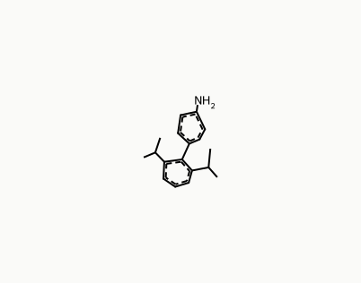 CC(C)c1cccc(C(C)C)c1-c1ccc(N)cc1